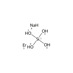 O[Si](O)(O)O.[Er].[NaH]